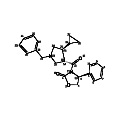 O=C1OC[C@H](c2ccccc2)N1C(=O)[C@@H]1CN(Cc2ccccc2)C[C@H]1C1CC1